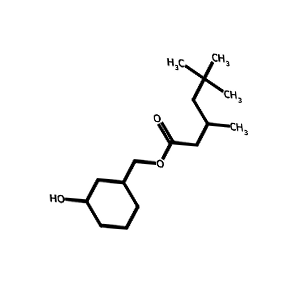 CC(CC(=O)OCC1CCCC(O)C1)CC(C)(C)C